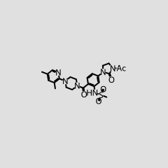 CC(=O)N1CCN(c2ccc(C(=O)N3CCN(c4ncc(C)cc4C)CC3)c(NS(C)(=O)=O)c2)C1=O